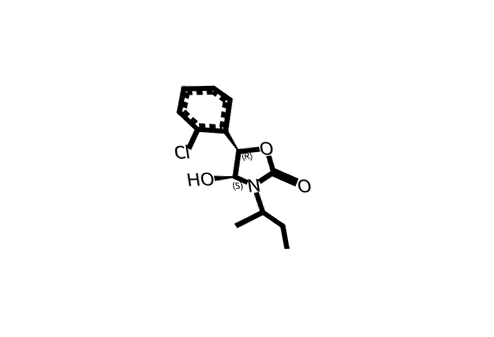 CCC(C)N1C(=O)O[C@H](c2ccccc2Cl)[C@@H]1O